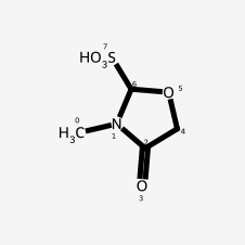 CN1C(=O)COC1S(=O)(=O)O